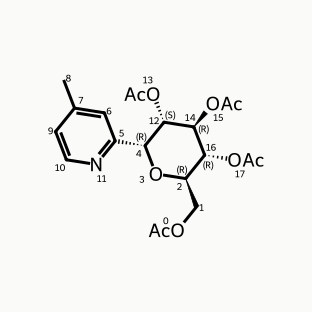 CC(=O)OC[C@H]1O[C@H](c2cc(C)ccn2)[C@H](OC(C)=O)[C@@H](OC(C)=O)[C@@H]1OC(C)=O